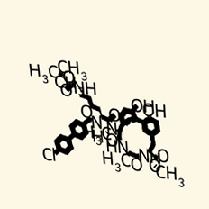 COC(=O)[C@@H]1Cc2ccc(O)c(c2)-c2cc(ccc2O)[C@H](N(C)C(=O)[C@H](CCCCNC(=O)OC(C)(C)C)NC(=O)c2ccc(-c3ccc(Cl)cc3)cc2)C(=O)N[C@@H](C)C(=O)N1